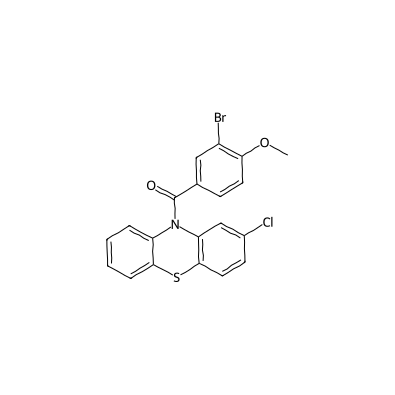 COc1ccc(C(=O)N2c3ccccc3Sc3ccc(Cl)cc32)cc1Br